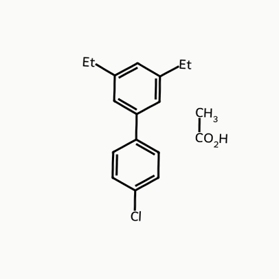 CC(=O)O.CCc1cc(CC)cc(-c2ccc(Cl)cc2)c1